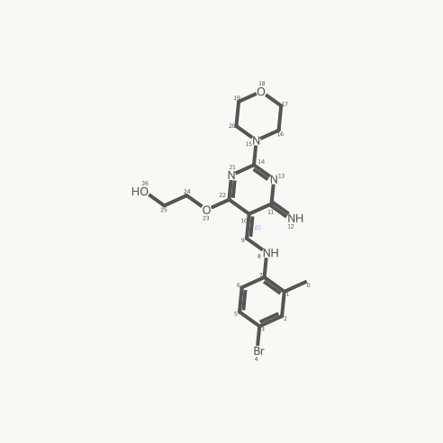 Cc1cc(Br)ccc1N/C=C1\C(=N)N=C(N2CCOCC2)N=C1OCCO